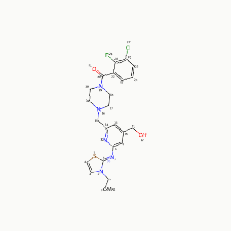 COCn1ccs/c1=N\c1cc(CO)cc(CN2CCN(C(=O)c3cccc(Cl)c3F)CC2)n1